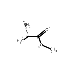 B[C@@H](C)C(=O)OC